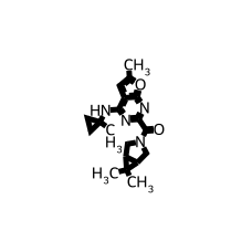 Cc1cc2c(NC3(C)CC3)nc(C(=O)N3CC4C(C3)C4(C)C)nc2o1